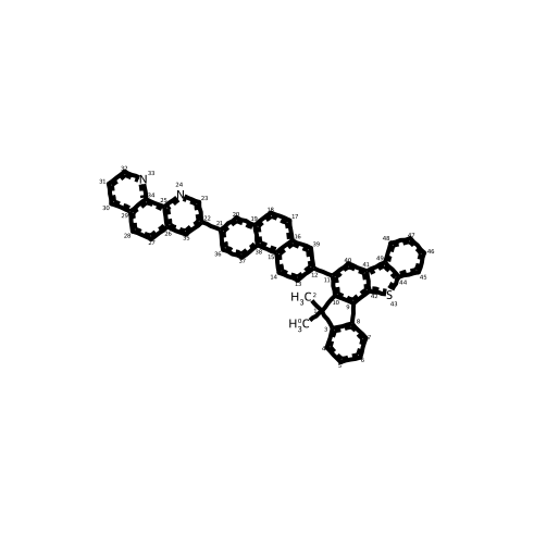 CC1(C)c2ccccc2-c2c1c(-c1ccc3c(ccc4cc(-c5cnc6c(ccc7cccnc76)c5)ccc43)c1)cc1c2sc2ccccc21